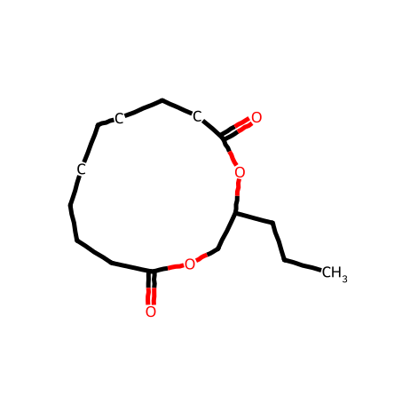 CCCC1COC(=O)CCCCCCCCC(=O)O1